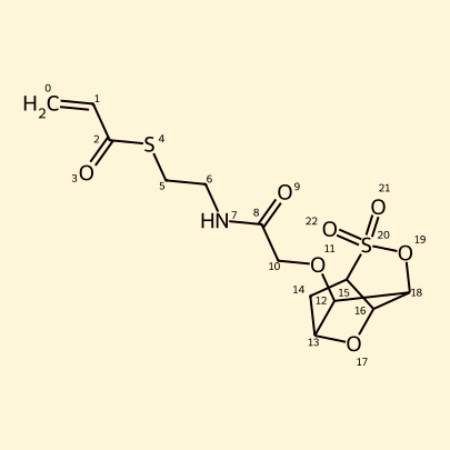 C=CC(=O)SCCNC(=O)COC1C2CC3C(O2)C1OS3(=O)=O